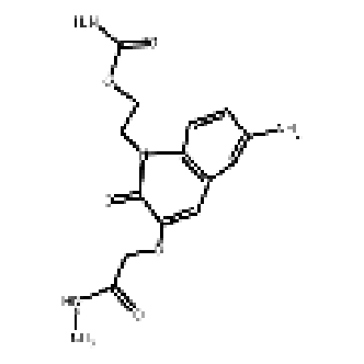 CNC(=O)COc1cc2cc(N)ccc2n(CCOC(N)=O)c1=O